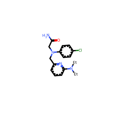 CCN(CC)c1cccc(CN(CC(N)=O)c2ccc(Cl)cc2)n1